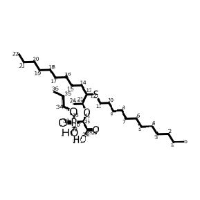 CCCCCCCCCCCCSC(CCCCCCCCC)C(C)OC(C(=O)O)P(=O)(O)OCCC